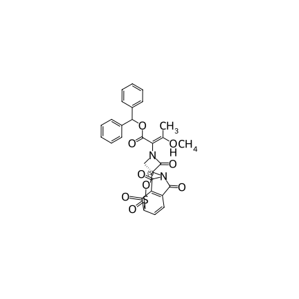 C.CC(O)=C(C(=O)OC(c1ccccc1)c1ccccc1)N1C[C@]2(COS(=O)(=O)c3ccc4c(c3)C(=O)N2C4=O)C1=O